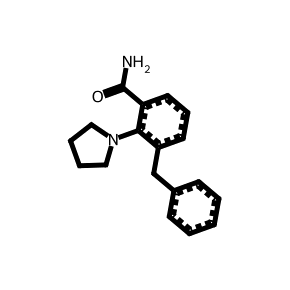 NC(=O)c1cccc(Cc2ccccc2)c1N1CCCC1